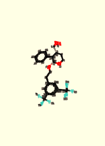 OC[C@@H]1CCO[C@H](OCCc2cc(C(F)(F)F)cc(C(F)(F)F)c2)[C@H]1c1ccccc1